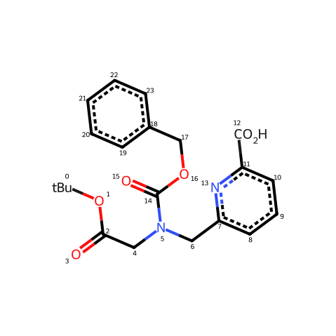 CC(C)(C)OC(=O)CN(Cc1cccc(C(=O)O)n1)C(=O)OCc1ccccc1